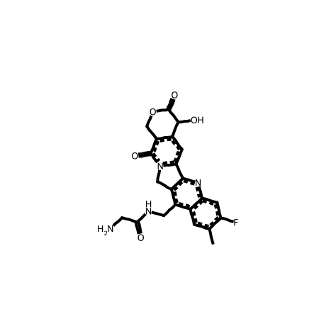 Cc1cc2c(CNC(=O)CN)c3c(nc2cc1F)-c1cc2c(c(=O)n1C3)COC(=O)C2O